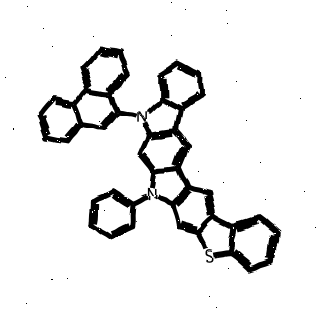 c1ccc(-n2c3cc4sc5ccccc5c4cc3c3cc4c5ccccc5n(-c5cc6ccccc6c6ccccc56)c4cc32)cc1